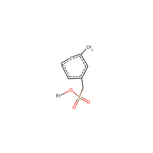 CCOS(=O)(=O)Cc1cccc(C(F)(F)F)c1